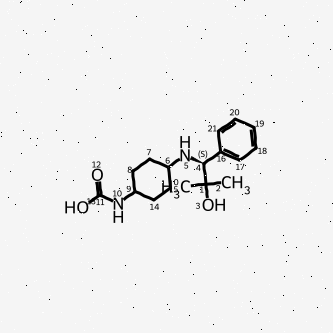 CC(C)(O)[C@@H](NC1CCC(NC(=O)O)CC1)c1ccccc1